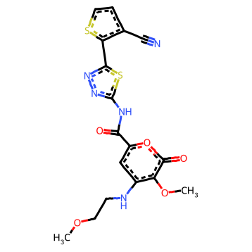 COCCNc1cc(C(=O)Nc2nnc(-c3sccc3C#N)s2)oc(=O)c1OC